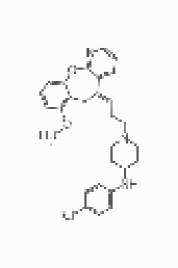 COc1cccc2c1CC(=CCCN1CCC(Nc3ccc(Cl)cc3)CC1)c1cccnc1O2